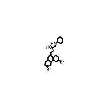 OC(C/C=C1/CC2CC=C(Br)CC2C2=C1CCC(Br)C2)CNC1C=CCCC1